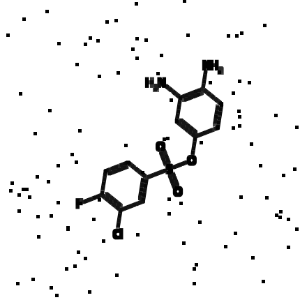 Nc1ccc(OS(=O)(=O)c2ccc(F)c(Cl)c2)cc1N